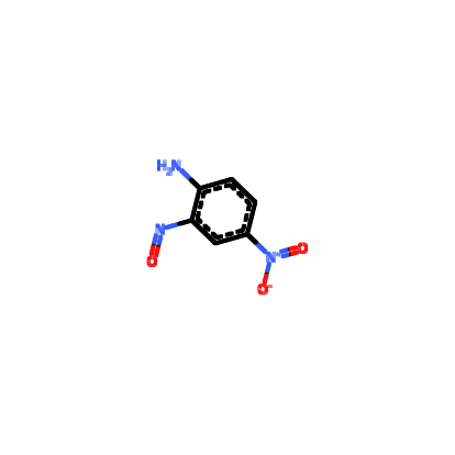 Nc1ccc([N+](=O)[O-])cc1N=O